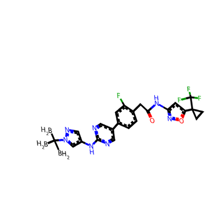 BC(B)(B)n1cc(Nc2ncc(-c3ccc(CC(=O)Nc4cc(C5(C(F)(F)F)CC5)on4)c(F)c3)cn2)cn1